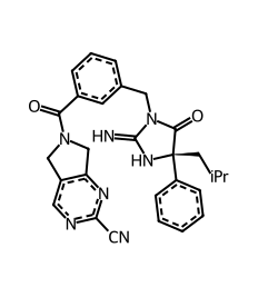 CC(C)C[C@@]1(c2ccccc2)NC(=N)N(Cc2cccc(C(=O)N3Cc4cnc(C#N)nc4C3)c2)C1=O